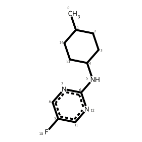 CC1CCC(Nc2ncc(F)cn2)CC1